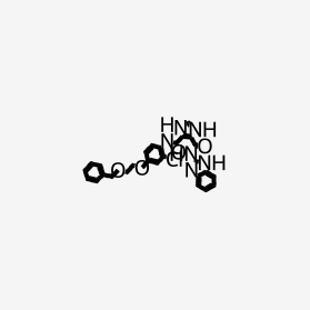 O=C(Nc1ccc(OCCOCc2ccccc2)cc1Cl)c1nc[nH]c1C(=O)Nc1nc2ccccc2[nH]1